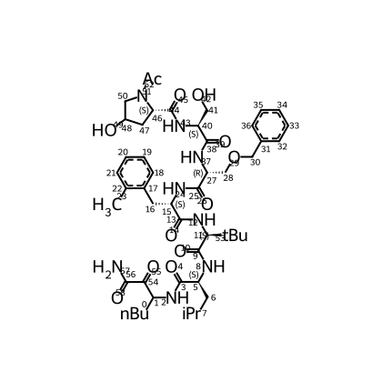 CCCCC(NC(=O)[C@H](CC(C)C)NC(=O)[C@@H](NC(=O)[C@H](Cc1ccccc1C)NC(=O)[C@@H](COCc1ccccc1)NC(=O)[C@H](CO)NC(=O)[C@@H]1CC(O)CN1C(C)=O)C(C)(C)C)C(=O)C(N)=O